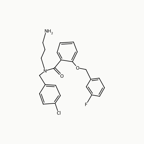 NCCCN(Cc1ccc(Cl)cc1)C(=O)c1ccccc1OCc1cccc(F)c1